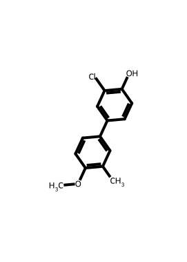 COc1ccc(-c2ccc(O)c(Cl)c2)cc1C